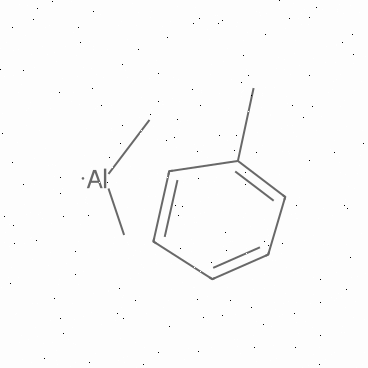 Cc1ccccc1.[CH3][Al][CH3]